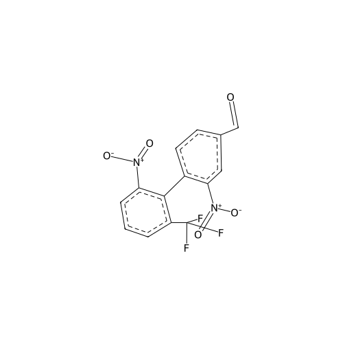 O=Cc1ccc(-c2c([N+](=O)[O-])cccc2C(F)(F)F)c([N+](=O)[O-])c1